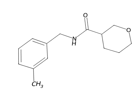 Cc1cccc(CNC(=O)C2CCCOC2)c1